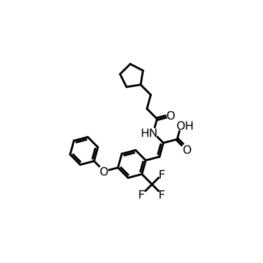 O=C(CCC1CCCC1)N/C(=C\c1ccc(Oc2ccccc2)cc1C(F)(F)F)C(=O)O